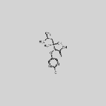 CC(C)CC(C)(C)N(Oc1cnc(Cl)nc1)C(=O)O